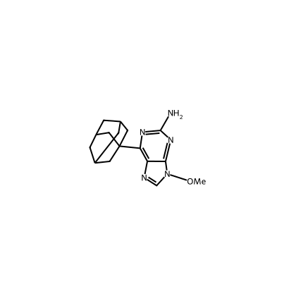 COn1cnc2c(C34CC5CC(CC(C5)C3)C4)nc(N)nc21